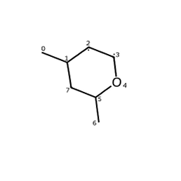 CC1[CH][CH]OC(C)C1